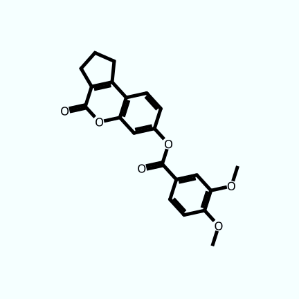 COc1ccc(C(=O)Oc2ccc3c4c(c(=O)oc3c2)CCC4)cc1OC